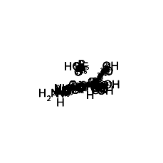 N=C(N)Nc1ccc(C(=O)Oc2ccc(CNS(=O)(=O)N(CCCCCC(=O)O)C(CC(=O)O)C(=O)O)cc2)cc1.O=C(O)C(F)(F)F